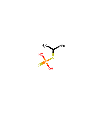 CCCCC(C)SP(O)(O)=S